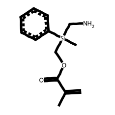 C=C(C)C(=O)OC[Si](C)(CN)c1ccccc1